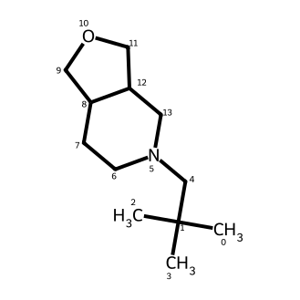 CC(C)(C)CN1CCC2COCC2C1